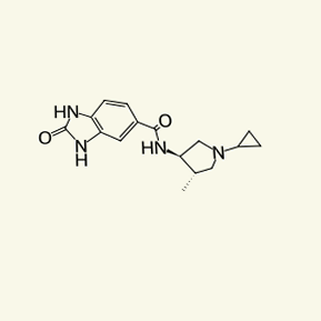 C[C@H]1CN(C2CC2)C[C@@H]1NC(=O)c1ccc2[nH]c(=O)[nH]c2c1